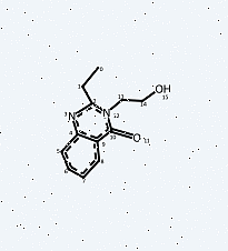 CCc1nc2ccccc2c(=O)n1CCO